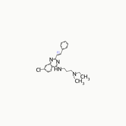 CCN(CC)CCCNc1nc(/C=C/c2ccccc2)nc2cc(Cl)ccc12